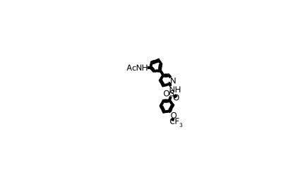 CC(=O)Nc1cccc(-c2ccc(NS(=O)(=O)c3cccc(OC(F)(F)F)c3)nc2)c1